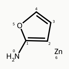 Nc1ccco1.[Zn]